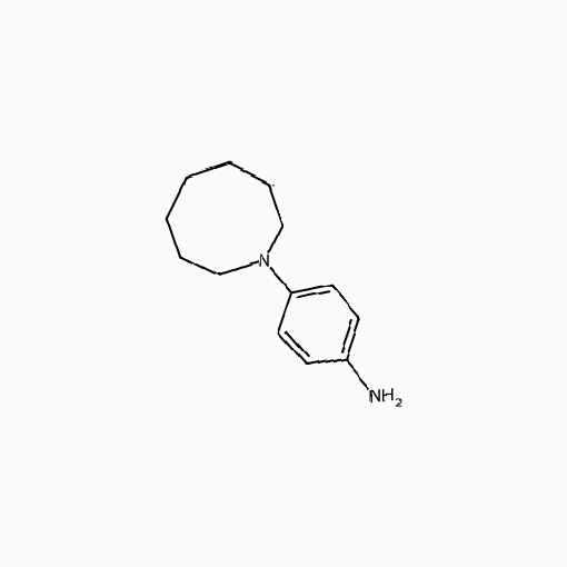 Nc1ccc(N2C[CH]CCCCC2)cc1